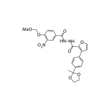 COCOc1ccc(C(=O)NNC(=O)c2occc2-c2ccc(C3(C)OCCO3)cc2)cc1[N+](=O)[O-]